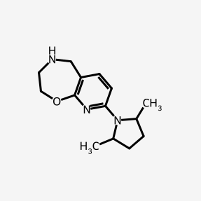 CC1CCC(C)N1c1ccc2c(n1)OCCNC2